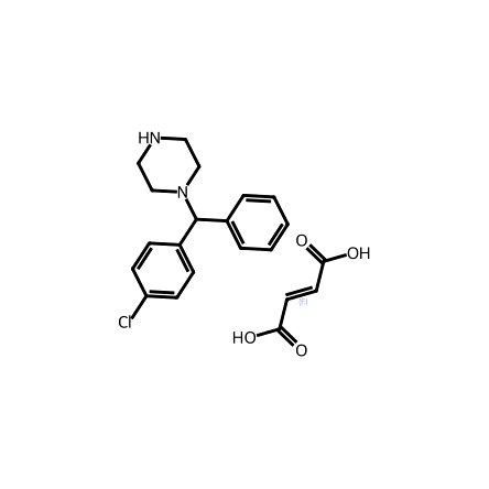 Clc1ccc(C(c2ccccc2)N2CCNCC2)cc1.O=C(O)/C=C/C(=O)O